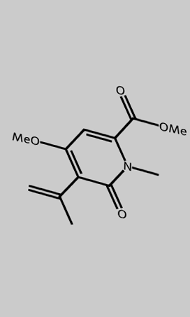 C=C(C)c1c(OC)cc(C(=O)OC)n(C)c1=O